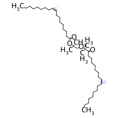 CCCCCCCC/C=C\CCCCCCCC(=O)OC(C)(C)COC(C)(C)C(=O)CCCCCCC/C=C\CCCCCCCC